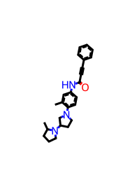 Cc1cc(NC(=O)C#Cc2ccccc2)ccc1N1CCC(N2CCCC2C)C1